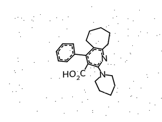 O=C(O)c1c(N2CCCCC2)nc2c(c1-c1ccccc1)CCCCC2